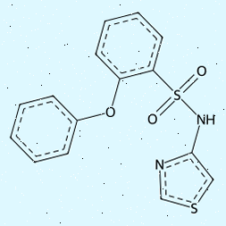 O=S(=O)(Nc1cscn1)c1ccccc1Oc1ccccc1